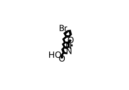 CN1C(=O)C(Cc2cccc(Br)c2)Cc2cc(C(=O)O)cnc21